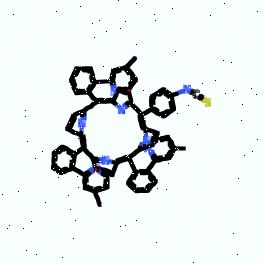 Cc1ccnc(-c2ccccc2C2=C3C=CC(=N3)C(c3ccc(N=C=S)cc3)=C3C=CC(=N3)C(c3ccccc3-c3cc(C)ccn3)=C3C=CC(=N3)C(c3ccccc3-c3cc(C)ccn3)=C3C=CC2=N3)c1